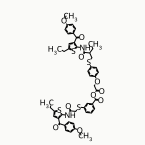 CCc1cc(C(=O)c2ccc(OC)cc2)c(NC(=O)CSc2cccc(C(=O)OC(=O)COc3ccc(SCC(CC)C(=O)Nc4sc(CC)cc4C(=O)c4ccc(OC)cc4)cc3)c2)s1